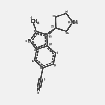 Cc1nc2cc(C#N)ccc2n1[C@H]1CCNC1